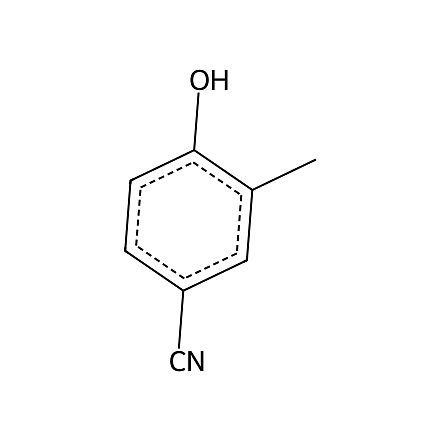 Cc1cc(C#N)ccc1O